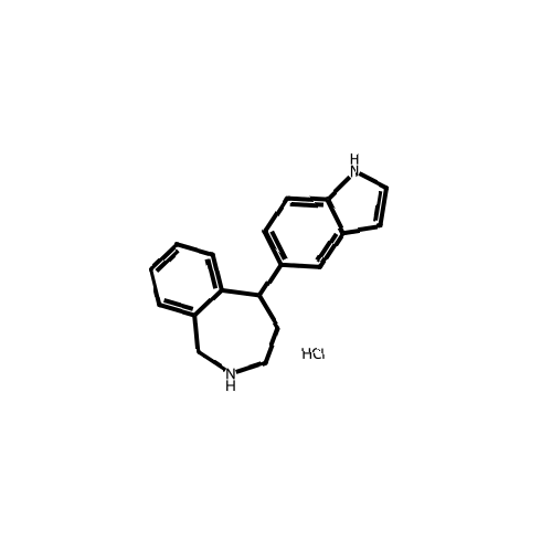 Cl.c1ccc2c(c1)CNCCC2c1ccc2[nH]ccc2c1